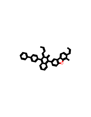 C=c1c(-c2ccc3oc4c(C)c(/C=C\C)ccc4c3c2)c2ccccc2c(-c2ccc(-c3ccccc3)cc2)/c1=C/C=C\C